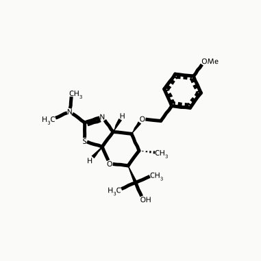 COc1ccc(CO[C@H]2[C@H](C)[C@@H](C(C)(C)O)O[C@@H]3SC(N(C)C)=N[C@H]23)cc1